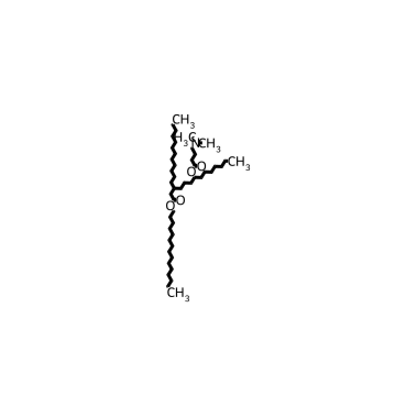 CCCCCCCCCCCCCCCOC(=O)CC(CCCCCCCCCCCC)CCCC(CCCCCCC)OC(=O)CCCN(C)C